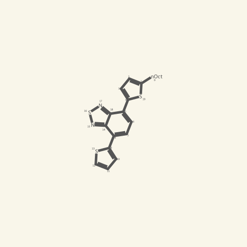 CCCCCCCCc1ccc(-c2ccc(-c3cccs3)c3nsnc23)s1